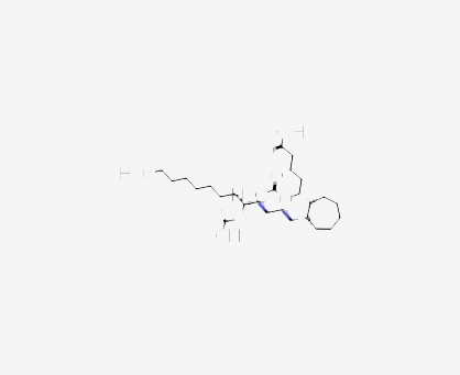 CCCCCCCCC(/C=C/C=C/[C@@H]1CCCCC[C@H]1C(CCCC(=O)O)OC(C)=O)OC(C)=O